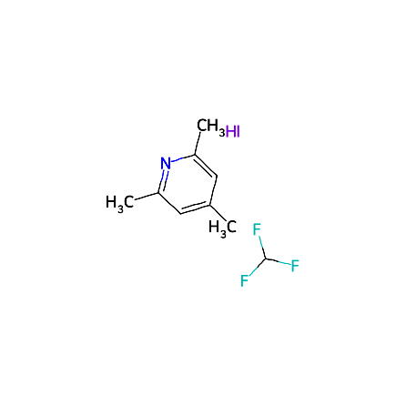 Cc1cc(C)nc(C)c1.FC(F)F.I